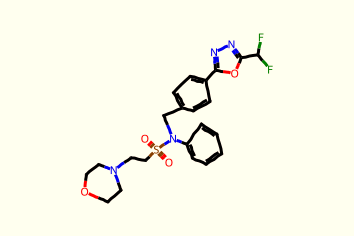 O=S(=O)(CCN1CCOCC1)N(Cc1ccc(-c2nnc(C(F)F)o2)cc1)c1ccccc1